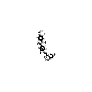 N#C[C@@H]1C[C@H](F)CN1C(=O)CNC12CCC(C(=O)Nc3ccc(OC(F)(F)F)cc3)(CC1)CC2